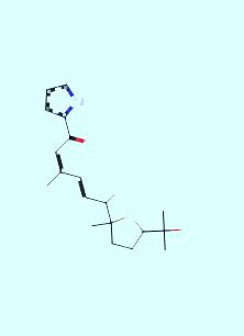 CC(=C/C(=O)c1ccc[nH]1)/C=C/C(O)C1(C)CCC(C(C)(C)O)O1